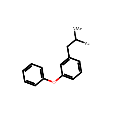 CNC(Cc1cccc(Oc2ccccc2)c1)C(C)=O